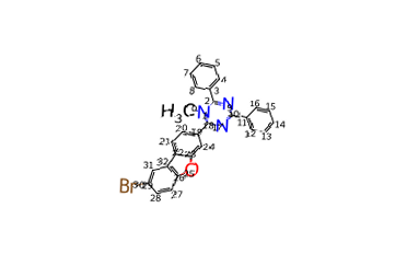 CN1C(c2ccccc2)=NC(c2ccccc2)=NC1c1ccc2c(c1)oc1ccc(Br)cc12